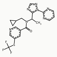 CC(c1ncnn1-c1ncccn1)N(CC1CC1)C(=O)c1cncc(SC(F)(F)F)c1